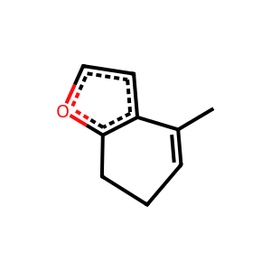 CC1=CCCc2occc21